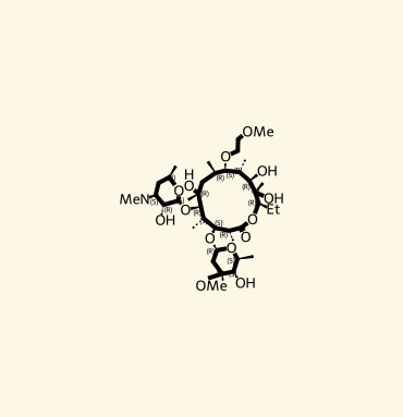 CC[C@H]1OC(=O)[C@H](C)[C@@H](O[C@H]2C[C@@](C)(OC)[C@@H](O)[C@H](C)O2)[C@H](C)[C@@H](O[C@@H]2O[C@H](C)C[C@H](NC)[C@H]2O)[C@](C)(O)C[C@@H](C)[C@H](OCCOC)[C@H](C)[C@@H](O)[C@]1(C)O